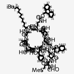 CC[C@H](C)C[C@H](C)CCCCCCCCC(=O)N[C@H]1C[C@@H](O)[C@@H](NCCNC(=O)OCC2c3ccccc3-c3ccccc32)NC(=O)[C@@H]2[C@@H](O)CCN2C(=O)[C@H]([C@H](O)CCNC(=O)[C@H](Cc2ccccc2)N2C(=O)[C@@H](NC(=O)[C@H](CCSC)NC=O)CC2C)NC(=O)[C@H]([C@H](O)[C@@H](O)c2ccc(O)cc2)NC(=O)[C@@H]2C[C@@H](O)CN2C(=O)[C@H]([C@@H](C)O)NC1=O